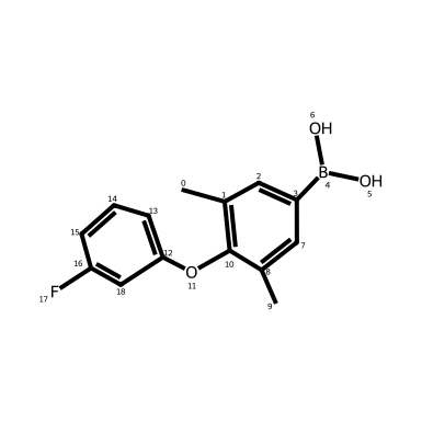 Cc1cc(B(O)O)cc(C)c1Oc1cccc(F)c1